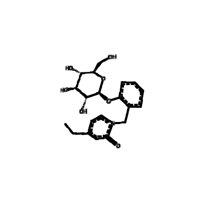 CCc1ccn(Cc2ccccc2O[C@@H]2O[C@H](CO)[C@@H](O)[C@H](O)[C@H]2O)c(=O)c1